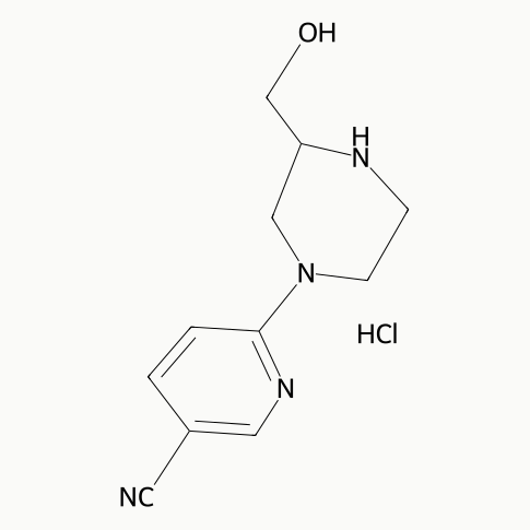 Cl.N#Cc1ccc(N2CCNC(CO)C2)nc1